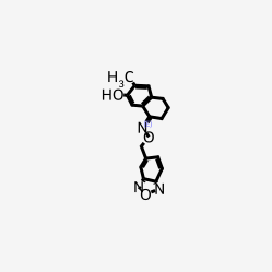 Cc1cc2c(cc1O)/C(=N/OCc1ccc3nonc3c1)CCC2